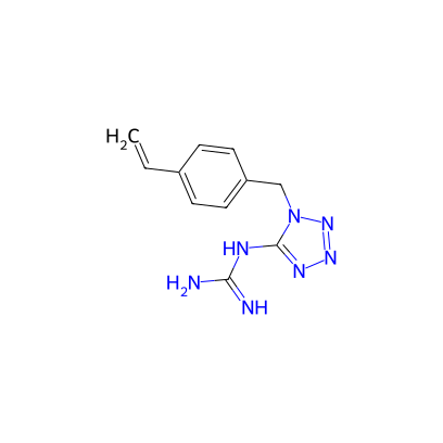 C=Cc1ccc(Cn2nnnc2NC(=N)N)cc1